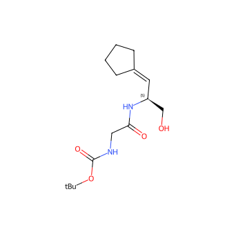 CC(C)(C)OC(=O)NCC(=O)N[C@@H](C=C1CCCC1)CO